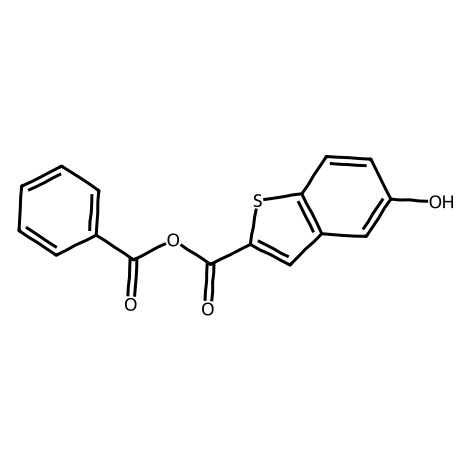 O=C(OC(=O)c1cc2cc(O)ccc2s1)c1ccccc1